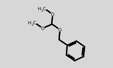 CO[C](OC)OCc1ccccc1